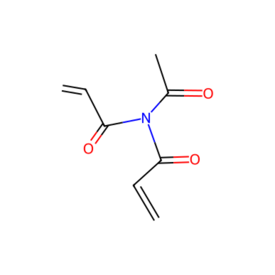 C=CC(=O)N(C(C)=O)C(=O)C=C